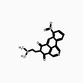 CN(C)CCC1C(=O)c2cncc3c2c(cc2c([N+](=O)[O-])cccc23)C1=O